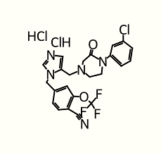 Cl.Cl.N#Cc1ccc(Cn2cncc2CN2CCN(c3cccc(Cl)c3)C(=O)C2)cc1OC(F)(F)F